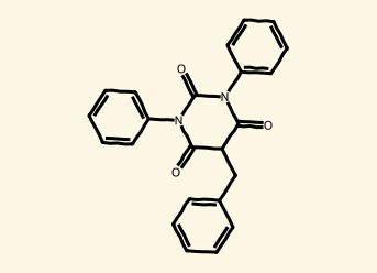 O=C1C(Cc2ccccc2)C(=O)N(c2ccccc2)C(=O)N1c1ccccc1